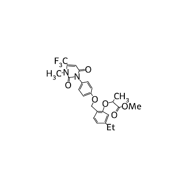 CCc1ccc(COc2ccc(-n3c(=O)cc(C(F)(F)F)n(C)c3=O)cc2)c(OC(C)C(=O)OC)c1